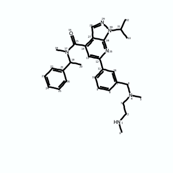 CNCCN(C)Cc1cccc(-c2cc(C(=O)N(C)C(C)c3ccccc3)c3cnn(C(C)C)c3n2)c1